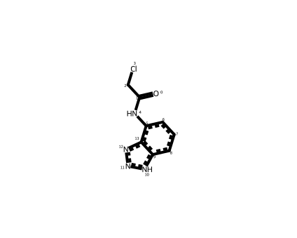 O=C(CCl)Nc1cccc2[nH]nnc12